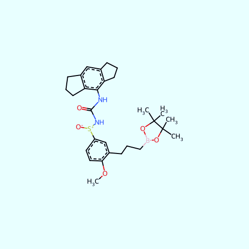 COc1ccc([S+]([O-])NC(=O)Nc2c3c(cc4c2CCC4)CCC3)cc1CCCB1OC(C)(C)C(C)(C)O1